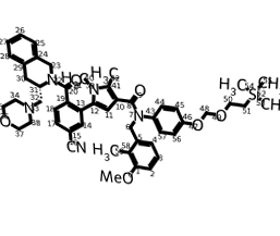 COc1cccc(CN(C(=O)c2cc(-c3cc(C#N)ccc3C(=O)N3Cc4ccccc4C[C@H]3CN3CCOCC3)n(C)c2C)c2ccc(OCOCC[Si](C)(C)C)cc2)c1C